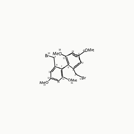 COc1cc(CBr)c(-c2c(CBr)cc(OC)cc2OC)c(OC)c1